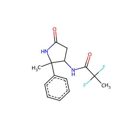 CC(F)(F)C(=O)NC1CC(=O)NC1(C)c1ccccc1